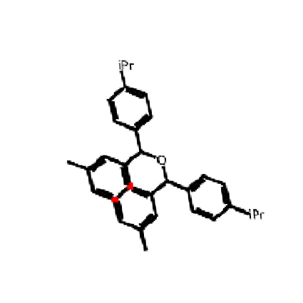 Cc1cccc(C(OC(c2ccc(C(C)C)cc2)c2cccc(C)c2)c2ccc(C(C)C)cc2)c1